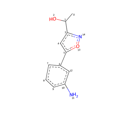 CC(O)c1cc(-c2cccc(N)c2)on1